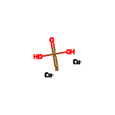 O=S(O)(O)=S.[Co].[Cu]